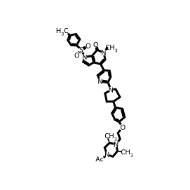 CC(=O)N1C[C@@H](C)N(CCOc2ccc(C3CCN(c4ccc(-c5cn(C)c(=O)c6c5ccn6S(=O)(=O)c5ccc(C)cc5)cn4)CC3)cc2)[C@@H](C)C1